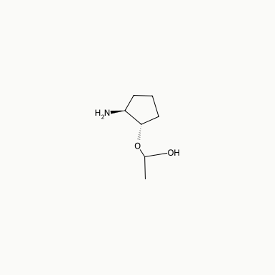 CC(O)O[C@H]1CCC[C@@H]1N